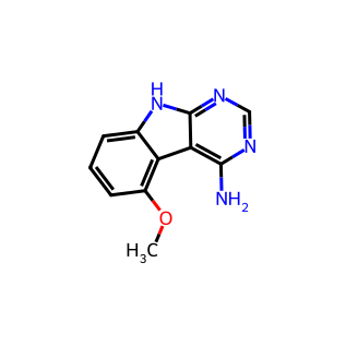 COc1cccc2[nH]c3ncnc(N)c3c12